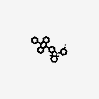 CC12CCCCC1(C)N(c1cccc(F)c1)c1ccc(-c3c4ccccc4c(-c4ccccc4)c4ccccc34)cc12